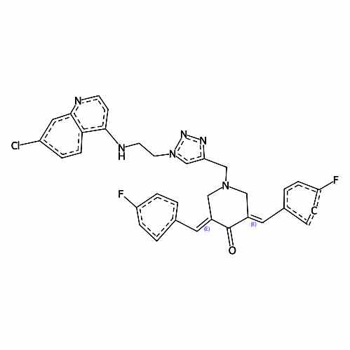 O=C1/C(=C/c2ccc(F)cc2)CN(Cc2cn(CCNc3ccnc4cc(Cl)ccc34)nn2)C/C1=C\c1ccc(F)cc1